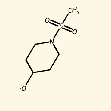 CS(=O)(=O)N1CCC([O])CC1